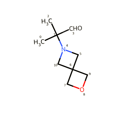 CC(C)(C=O)N1CC2(COC2)C1